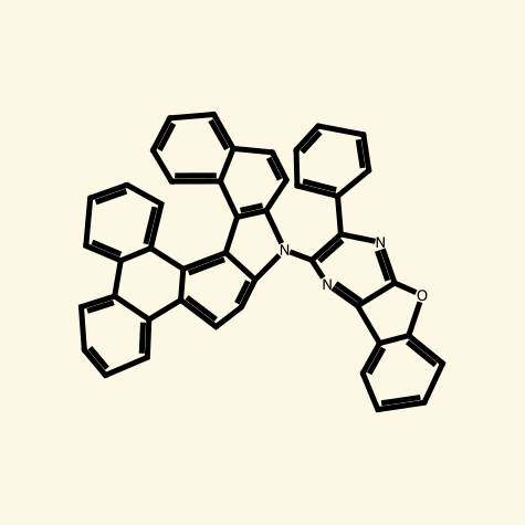 c1ccc(-c2nc3oc4ccccc4c3nc2-n2c3ccc4ccccc4c3c3c4c5ccccc5c5ccccc5c4ccc32)cc1